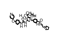 CC(C)(C)C1=C(O)N(c2ccc(C(=O)NCCN3CCCC3)cc2)CC(NC(=O)Nc2ccc(Oc3ccncc3)cc2)=N1